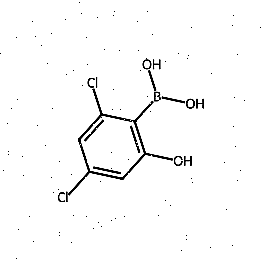 OB(O)c1c(O)cc(Cl)cc1Cl